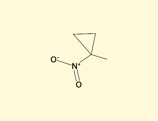 CC1([N+](=O)[O-])CC1